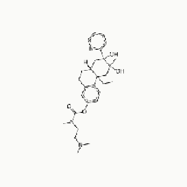 CCC12CC(C)(O)C(O)(c3ccccn3)C[C@H]1CCc1cc(OC(=O)N(C)CCN(C)C)ccc12